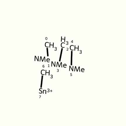 C[N-]C.C[N-]C.C[N-]C.[CH3][Sn+3]